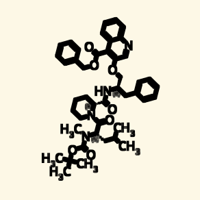 CC(C)C[C@@H](C(=O)N1CCCC[C@@H]1C(=O)N[C@@H](COc1cnc2ccccc2c1C(=O)OCc1ccccc1)Cc1ccccc1)N(C)C(=O)OC(C)(C)C